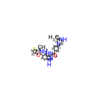 CC(NC(=O)c1ccc2[nH]nc(NC(=O)c3ccc(N4CCN[C@@H](C)C4)cc3)c2c1)c1cccs1